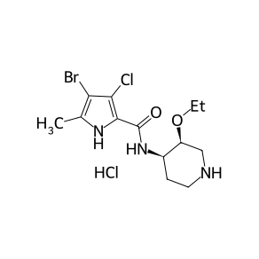 CCO[C@H]1CNCC[C@H]1NC(=O)c1[nH]c(C)c(Br)c1Cl.Cl